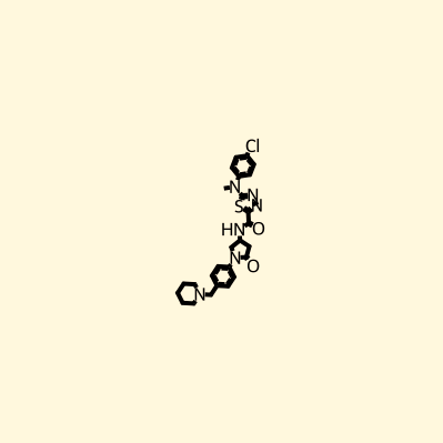 CN(c1ccc(Cl)cc1)c1nnc(C(=O)NC2CC(=O)N(c3ccc(CN4CCCCC4)cc3)C2)s1